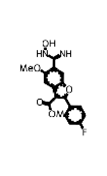 COC(=O)c1c(-c2ccc(F)cc2)oc2cc(C(=N)NO)c(OC)cc12